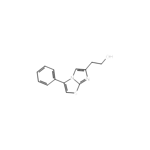 OCCc1cn2c(-c3ccccc3)csc2n1